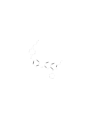 C[C@@H]1CCN(c2nc([C@@H](C)O)cc3cnc(Nc4ccc(CN5CCN(CCO)CC5)cn4)nc23)C1